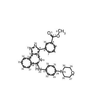 COC(=O)c1cccc(-c2nnc3c4ccccc4c(Nc4ccc(N5CCOCC5)cc4)nn23)c1